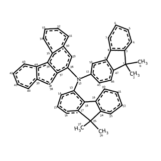 CC1(C)c2ccccc2-c2cc(N(c3cccc4c3-c3ccccc3C4(C)C)c3cc4ccccc4c4c3sc3ccccc34)ccc21